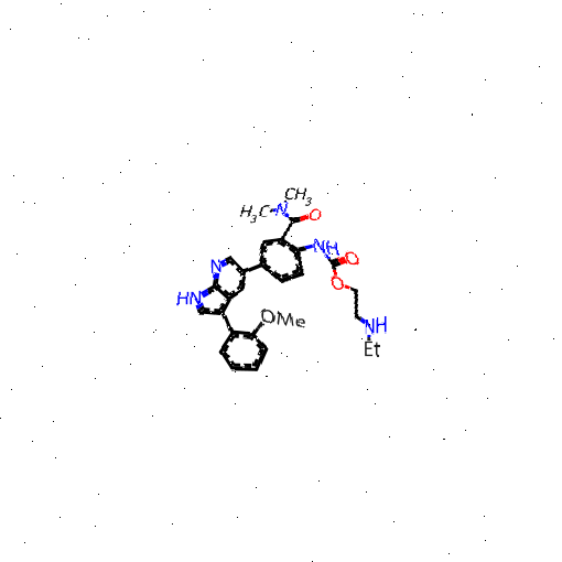 CCNCCOC(=O)Nc1ccc(-c2cnc3[nH]cc(-c4ccccc4OC)c3c2)cc1C(=O)N(C)C